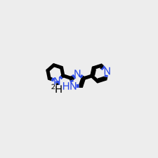 [2H]N1CCCCC1c1nc(-c2ccncc2)c[nH]1